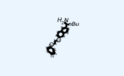 CCCCC(CN)c1ccc2c(c1)CC[C@H](OCCOc1ccccc1)C2